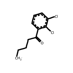 [CH2]CCCC(=O)c1cccc(Cl)c1Cl